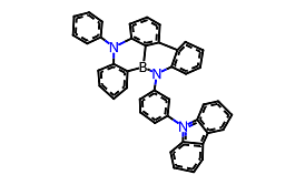 c1ccc(N2c3ccccc3B3c4c(cccc42)-c2ccccc2N3c2cccc(-n3c4ccccc4c4ccccc43)c2)cc1